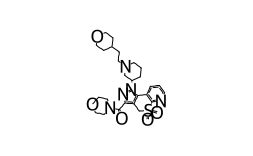 O=C(c1nn([C@H]2CCCN(CCC3CCOCC3)C2)c2c1CS(=O)(=O)c1ncccc1-2)N1CCOCC1